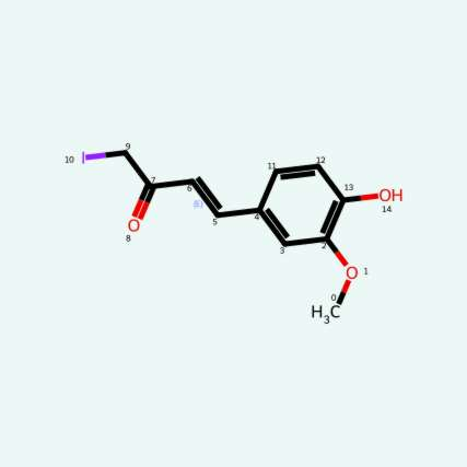 COc1cc(/C=C/C(=O)CI)ccc1O